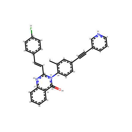 Cc1cc(C#Cc2cccnc2)ccc1-n1c(C=Cc2ccc(F)cc2)nc2ccccc2c1=O